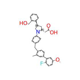 COc1ccc(F)c(-c2ccc(Cc3ccc(N4C[C@@H](c5ccccc5CO)C[C@@H]4CC(=O)O)cc3)c(C)c2)c1